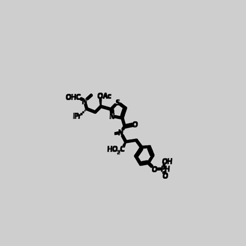 CC(=O)O[C@H](C[C@H](C(C)C)N(C)C=O)c1nc(C(=O)N(C)[C@@H](Cc2ccc(O[PH](=O)O)cc2)C(=O)O)cs1